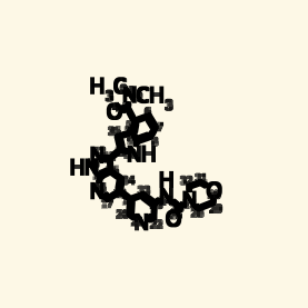 CN(C)C(=O)c1cccc2[nH]c(-c3n[nH]c4ncc(-c5cncc(NC(=O)N6CCOCC6)c5)cc34)cc12